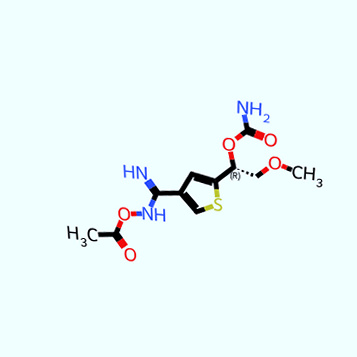 COC[C@@H](OC(N)=O)c1cc(C(=N)NOC(C)=O)cs1